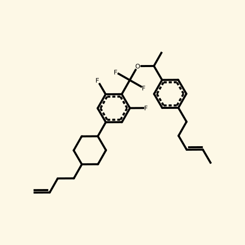 C=CCCC1CCC(c2cc(F)c(C(F)(F)OC(C)c3ccc(CC/C=C/C)cc3)c(F)c2)CC1